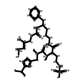 CC(C)c1nc(CN(C)C(=O)N(C)C(CCNS(C)(=O)=O)C(=O)NCCCC(Cc2ccccc2)NC(=O)OC/C(S)=C/NI)cs1